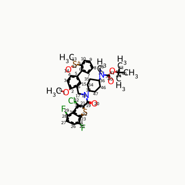 COc1ccc(-c2ccccc2[S+](C)[O-])cc1CN(C(=O)c1sc2c(F)ccc(F)c2c1Cl)C1CCC(N(C)C(=O)OC(C)(C)C)CC1